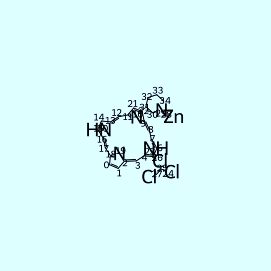 C1=Cc2cc3ccc(cc4nc(cc5ccc(cc1n2)[nH]5)C=C4)[nH]3.ClC(Cl)Cl.[Zn][N]1CCCCC1